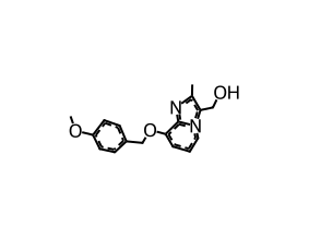 COc1ccc(COc2cccn3c(CO)c(C)nc23)cc1